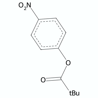 [CH2]C([CH2])(C)C(=O)Oc1ccc([N+](=O)[O-])cc1